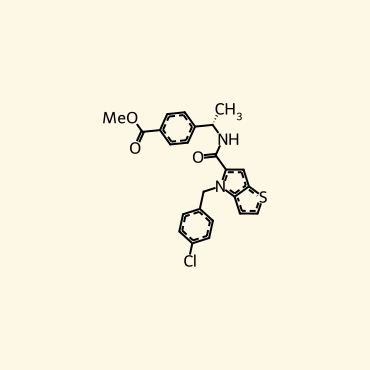 COC(=O)c1ccc([C@H](C)NC(=O)c2cc3sccc3n2Cc2ccc(Cl)cc2)cc1